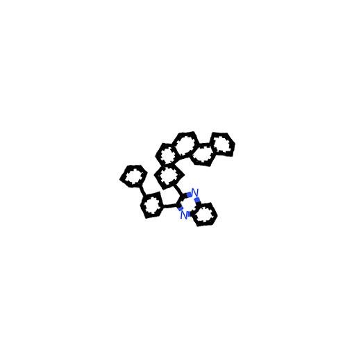 c1ccc(-c2cccc(-c3nc4ccccc4nc3-c3ccc4ccc5ccc6c7ccccc7ccc6c5c4c3)c2)cc1